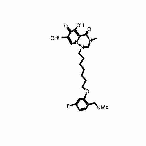 CNCc1ccc(F)cc1OCCCCCCCN1CN(C)C(=O)c2c(O)c(=O)c(C=O)cn21